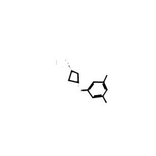 Cc1cc(C)cc(O[C@H]2C[C@H](N)C2)c1